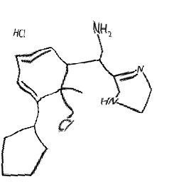 CC1(Cl)C(C2CCCC2)=CC=CC1C(N)C1=NCCN1.Cl